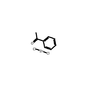 CC(=O)c1c[c]ccc1.[Cl][Zn][Cl]